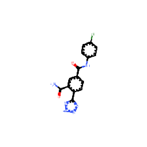 NC(=O)c1cc(C(=O)Nc2ccc(Cl)cc2)ccc1-c1nn[nH]n1